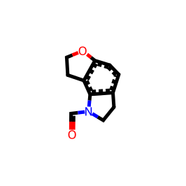 O=CN1CCc2ccc3c(c21)CCO3